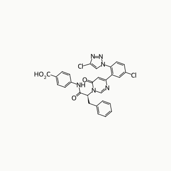 O=C(O)c1ccc(NC(=O)[C@H](Cc2ccccc2)n2cnc(-c3cc(Cl)ccc3-n3cc(Cl)nn3)cc2=O)cc1